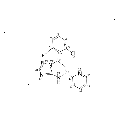 Fc1cccc(Cl)c1[C@@H]1C[C@H](c2ccccn2)Nc2ncnn21